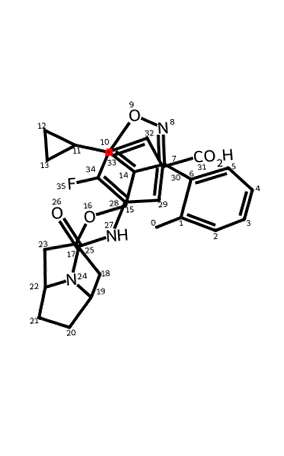 Cc1ccccc1-c1noc(C2CC2)c1COC1CC2CCC(C1)N2C(=O)Nc1cc(C(=O)O)ccc1F